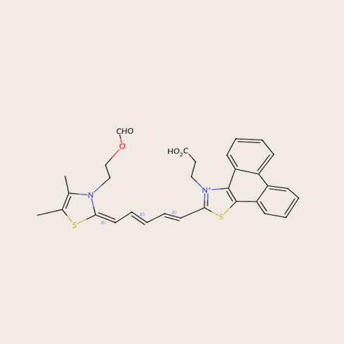 CC1=C(C)N(CCOC=O)\C(=C/C=C/C=C/c2sc3c4ccccc4c4ccccc4c3[n+]2CCC(=O)O)S1